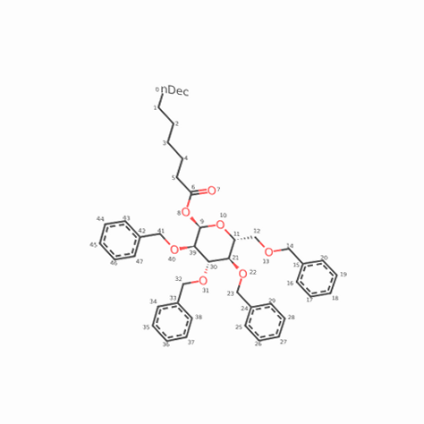 CCCCCCCCCCCCCCCC(=O)O[C@H]1O[C@H](COCc2ccccc2)[C@@H](OCc2ccccc2)[C@H](OCc2ccccc2)[C@H]1OCc1ccccc1